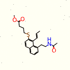 CC=Cc1c(SCCCC(=O)OC)ccc2cccc(CCNC(C)=O)c12